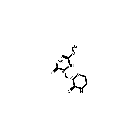 COC(=O)[C@H](C[C@@H]1OCCNC1=O)NC(=O)OC(C)(C)C